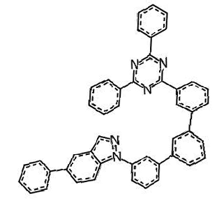 c1ccc(-c2ccc3c(cnn3-c3cccc(-c4cccc(-c5cccc(-c6nc(-c7ccccc7)nc(-c7ccccc7)n6)c5)c4)c3)c2)cc1